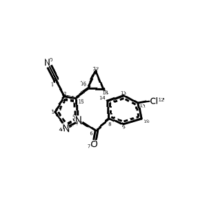 N#Cc1cnn(C(=O)c2ccc(Cl)cc2)c1C1CC1